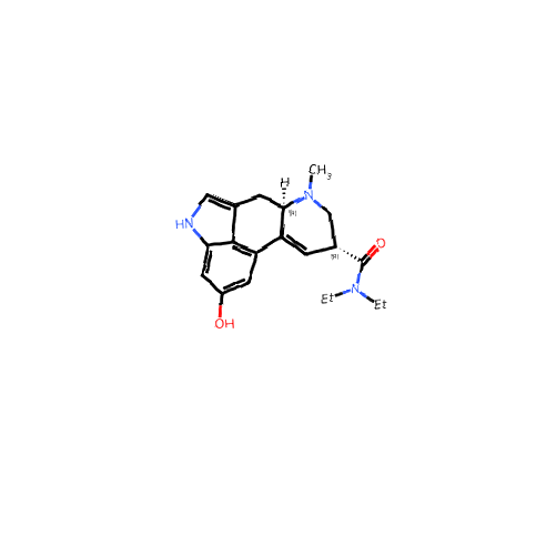 CCN(CC)C(=O)[C@@H]1C=C2c3cc(O)cc4[nH]cc(c34)C[C@H]2N(C)C1